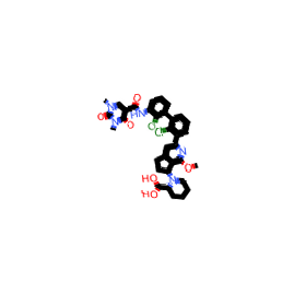 COc1nc(-c2cccc(-c3cccc(NC(=O)c4cn(C)c(=O)n(C)c4=O)c3Cl)c2Cl)cc2c1C(N1CCCCC1C(O)O)CC2